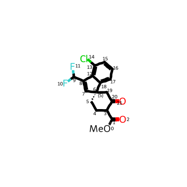 COC(=O)C1CC[C@@]2(C=C(C(F)F)c3c(Cl)cccc32)CC1=O